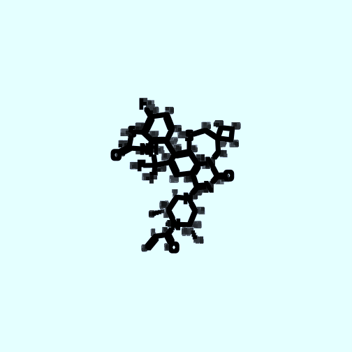 C=CC(=O)N1[C@H](C)CN(c2nc(=O)n3c4c(c(-c5ccc(F)c6sc(=O)[nH]c56)c(C(F)(F)F)cc24)SCC2(CCC2)C3)C[C@@H]1C